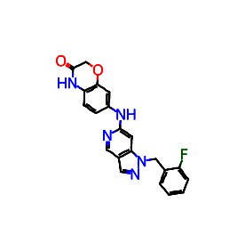 O=C1COc2cc(Nc3cc4c(cn3)cnn4Cc3ccccc3F)ccc2N1